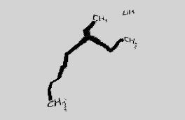 [CH2]CCCC(C)CC.[LiH]